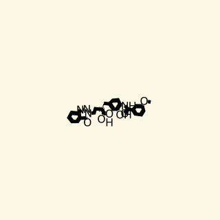 COc1cccc(C(=O)Nc2ccc(C[C@@H](CCn3nnc4ccccc4c3=O)C(=O)O)cc2O)c1